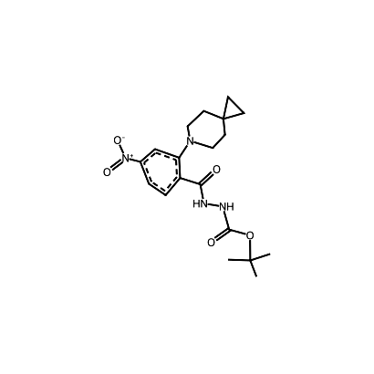 CC(C)(C)OC(=O)NNC(=O)c1ccc([N+](=O)[O-])cc1N1CCC2(CC1)CC2